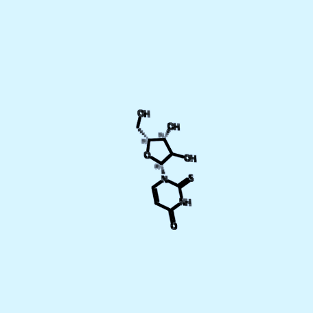 O=c1ccn([C@@H]2O[C@H](CO)[C@H](O)C2O)c(=S)[nH]1